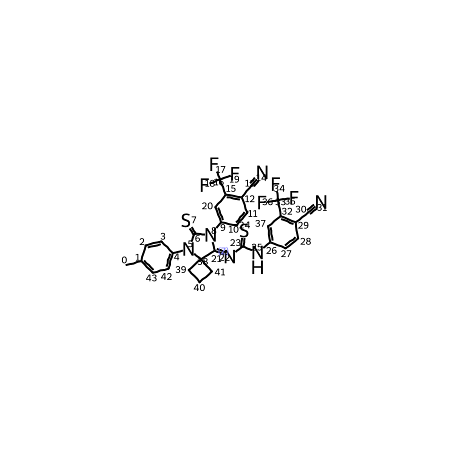 Cc1ccc(N2C(=S)N(c3ccc(C#N)c(C(F)(F)F)c3)/C(=N\C(=S)Nc3ccc(C#N)c(C(F)(F)F)c3)C23CCC3)cc1